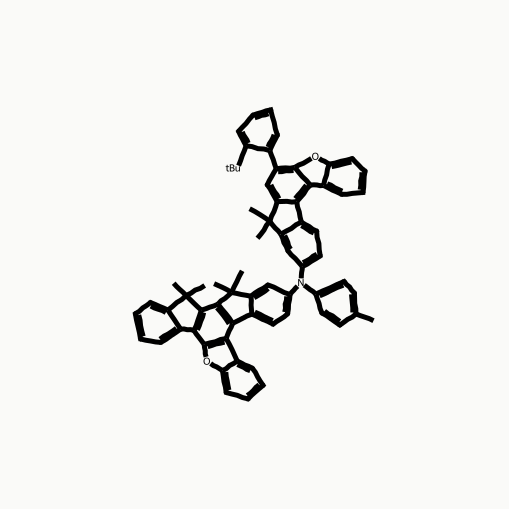 Cc1ccc(N(c2ccc3c(c2)C(C)(C)c2cc(-c4ccccc4C(C)(C)C)c4oc5ccccc5c4c2-3)c2ccc3c(c2)C(C)(C)c2c4c(c5oc6ccccc6c5c2-3)-c2ccccc2C4(C)C)cc1